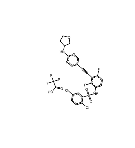 O=C(O)C(F)(F)F.O=S(=O)(Nc1ccc(F)c(C#Cc2cnc(NC3CCOC3)nc2)c1F)c1cc(Cl)ccc1Cl